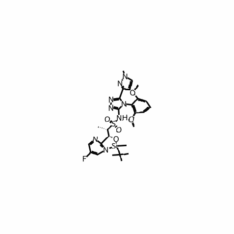 COc1cccc(OC)c1-n1c(NS(=O)(=O)[C@@H](C)[C@H](O[Si](C)(C)C(C)(C)C)c2ncc(F)cn2)nnc1-c1ccn(C)n1